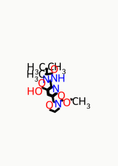 CCOC(=O)N1CCCOC1c1cnc(C2=NC(C)(C(C)C)C(=O)N2)c(C(=O)O)c1